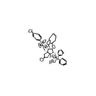 CC(C)(C)[Si](OC[C@@H]1[C@H]2CC(=O)C[C@@]2(CNS(=O)(=O)c2ccc(Cl)cc2)C[C@H]1OC1CCCCO1)(c1ccccc1)c1ccccc1